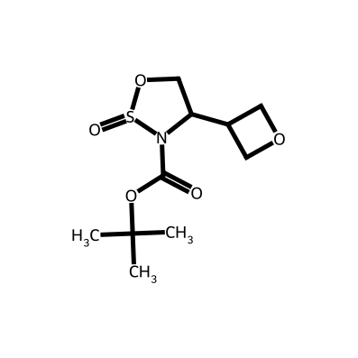 CC(C)(C)OC(=O)N1C(C2COC2)COS1=O